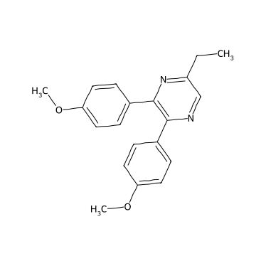 CCc1cnc(-c2ccc(OC)cc2)c(-c2ccc(OC)cc2)n1